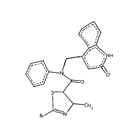 CC1N=C(Br)SC1C(=O)N(Cc1cc(=O)[nH]c2ccccc12)c1ccccc1